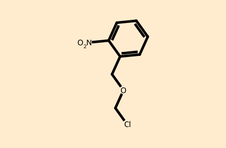 O=[N+]([O-])c1ccccc1COCCl